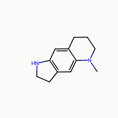 CN1CCCc2cc3c(cc21)CCN3